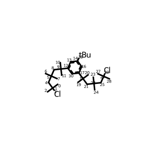 CC(C)(Cl)CC(C)(C)CC(C)(C)c1cc(C(C)(C)C)cc(C(C)(C)CC(C)(C)CC(C)(C)Cl)c1